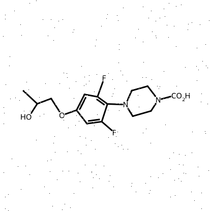 CC(O)COc1cc(F)c(N2CCN(C(=O)O)CC2)c(F)c1